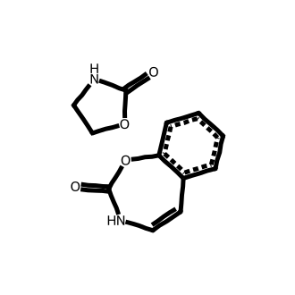 O=C1NC=Cc2ccccc2O1.O=C1NCCO1